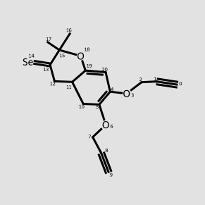 C#CCOC1=C(OCC#C)CC2CC(=[Se])C(C)(C)OC2=C1